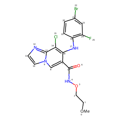 COCCONC(=O)c1cn2ccnc2c(Cl)c1Nc1ccc(Br)cc1F